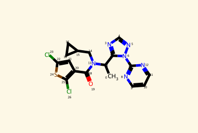 CC(c1ncnn1-c1ncccn1)N(CC1CC1)C(=O)c1cc(Cl)sc1Cl